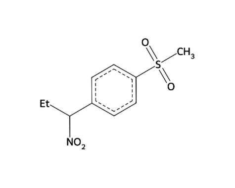 CCC(c1ccc(S(C)(=O)=O)cc1)[N+](=O)[O-]